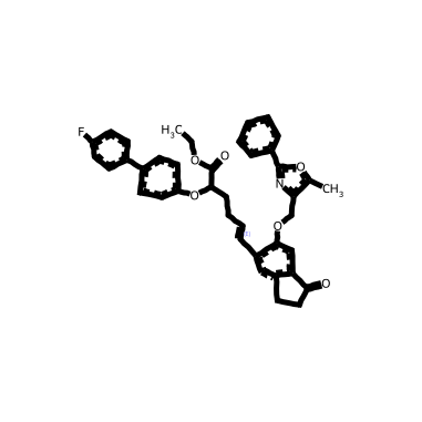 CCOC(=O)C(CC/C=C/c1cc2c(cc1OCc1nc(-c3ccccc3)oc1C)C(=O)CC2)Oc1ccc(-c2ccc(F)cc2)cc1